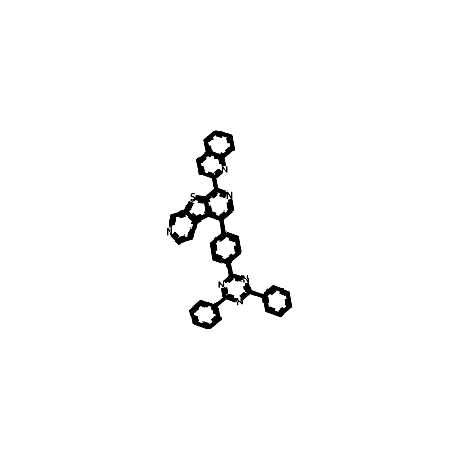 c1ccc(-c2nc(-c3ccccc3)nc(-c3ccc(-c4cnc(-c5ccc6ccccc6n5)c5sc6cnccc6c45)cc3)n2)cc1